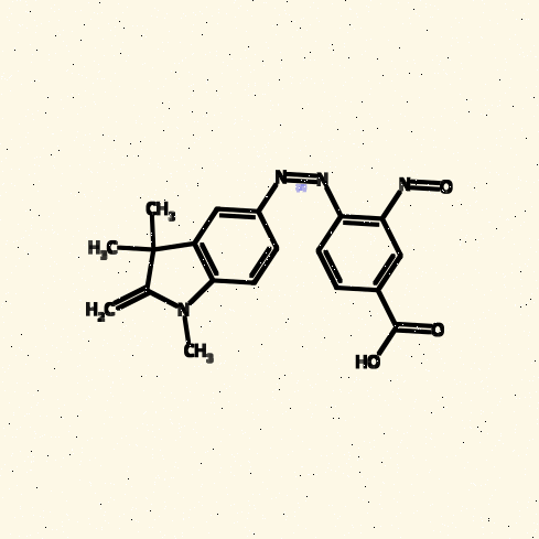 C=C1N(C)c2ccc(/N=N\c3ccc(C(=O)O)cc3N=O)cc2C1(C)C